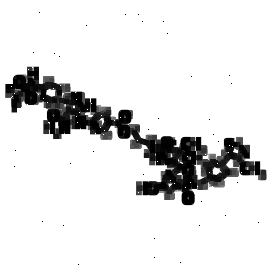 Cc1ncsc1-c1ccc(CNC(=O)[C@@H]2C[C@@H](O)CN2C(=O)[C@@H](NC(=O)CCCCOC(=O)c2ccc(Nc3[nH]nc(-c4ccc(NS(=O)(=O)C(F)F)cc4)c3C(N)=O)nc2)C(C)(C)C)cc1